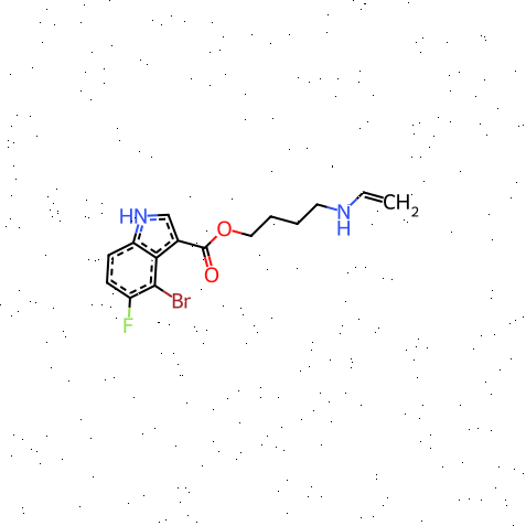 C=CNCCCCOC(=O)c1c[nH]c2ccc(F)c(Br)c12